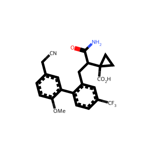 COc1ccc(CC#N)cc1-c1ccc(C(F)(F)F)cc1CC(C(N)=O)C1(C(=O)O)CC1